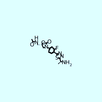 CC(=O)NC[C@H]1CN(c2ccc(-c3nnc([C@H](C)N)s3)c(F)c2)C(=O)O1